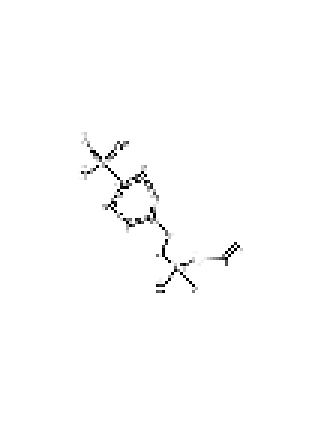 C=CC[Si](C)(Cl)CCc1ccc(S(=O)(=O)Cl)cc1